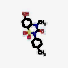 Cc1ccc(N2C(=O)N(C)c3cc(O)ccc3S2(=O)=O)cc1